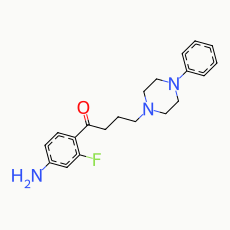 Nc1ccc(C(=O)CCCN2CCN(c3ccccc3)CC2)c(F)c1